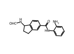 Nc1ccccc1NC(=O)c1ccc2c(c1)CCC2NC=O